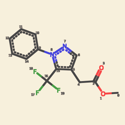 COC(=O)Cc1cnn(-c2ccccc2)c1C(F)(F)F